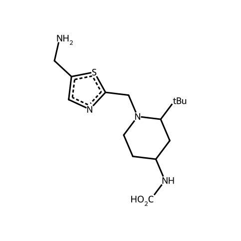 CC(C)(C)C1CC(NC(=O)O)CCN1Cc1ncc(CN)s1